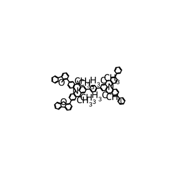 CC1(C)c2cc(-c3ccccc3)ccc2N2c3ccc(-c4ccccc4)cc3C(C)(C)c3cc(-c4ccc(-c5cc6c7c(c5)C(C)(C)c5cc(-c8cccc9c8oc8ccccc89)ccc5N7c5ccc(-c7cccc8c7oc7ccccc78)cc5C6(C)C)cc4)cc1c32